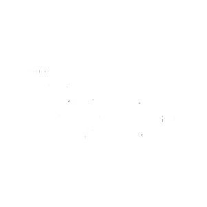 O=C(O)CC(=O)CC(=O)c1ccc(F)cc1